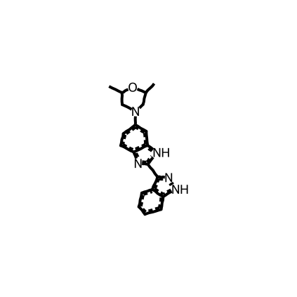 CC1CN(c2ccc3nc(-c4n[nH]c5ccccc45)[nH]c3c2)CC(C)O1